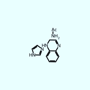 C1=Nc2ccccc2NC1.CC(N)=O.c1c[nH]cn1